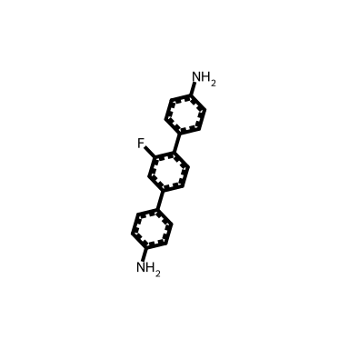 Nc1ccc(-c2ccc(-c3ccc(N)cc3)c(F)c2)cc1